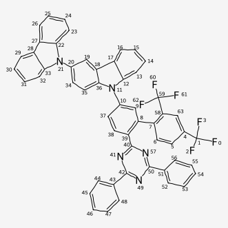 FC(F)(F)c1ccc(-c2cc(-n3c4ccccc4c4cc(-n5c6ccccc6c6ccccc65)ccc43)ccc2-c2nc(-c3ccccc3)nc(-c3ccccc3)n2)c(C(F)(F)F)c1